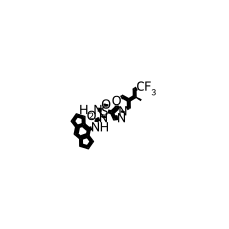 C[C@H](CC(F)(F)F)C1COc2c(S(N)(=O)=NC(=O)Nc3c4c(cc5c3CCC5)CCC4)cnn2C1